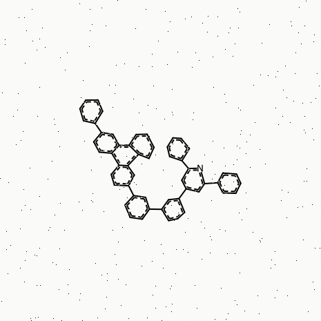 c1ccc(-c2ccc3c4ccc(-c5cccc(-c6cccc(-c7cc(-c8ccccc8)nc(-c8ccccc8)c7)c6)c5)cc4c4ccccc4c3c2)cc1